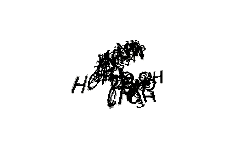 CCOc1cc2c(cc1OC)C(c1ccc(-n3cccn3)nc1)=N[C@@H]1CC[C@@H](O)C[C@H]21.O=C(O)C=CC(=O)O